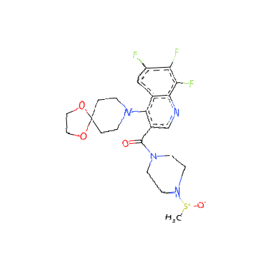 C[S+]([O-])N1CCN(C(=O)c2cnc3c(F)c(F)c(F)cc3c2N2CCC3(CC2)OCCO3)CC1